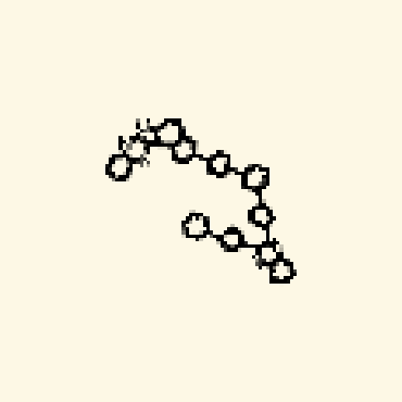 c1ccc(-c2ccc(-c3nc4ccccc4nc3-c3ccc(-c4cccc(-c5ccc(-c6ccc7c(ccc8oc9nc%10ccccc%10nc9c87)c6)cc5)c4)cc3)cc2)cc1